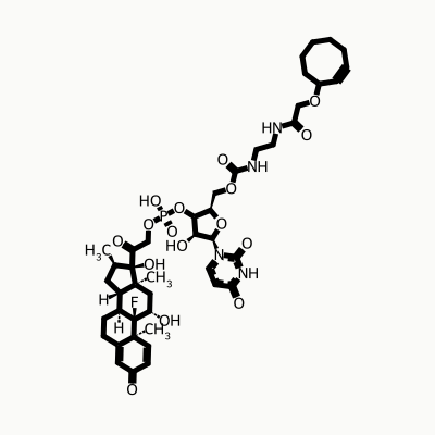 C[C@@H]1C[C@H]2[C@@H]3CCC4=CC(=O)C=C[C@]4(C)[C@@]3(F)[C@@H](O)C[C@]2(C)[C@@]1(O)C(=O)COP(=O)(O)OC1[C@@H](COC(=O)NCCNC(=O)COC2C#CCCCCC2)O[C@@H](n2ccc(=O)[nH]c2=O)[C@H]1O